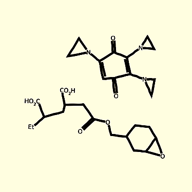 CCC(CC(CC(=O)OCC1CCC2OC2C1)C(=O)O)C(=O)O.O=C1C=C(N2CC2)C(=O)C(N2CC2)=C1N1CC1